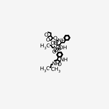 CC(C)CNC=C1C(=O)Nc2ccc(S(=O)(=O)N(CC(C)C)CC(O)C(Cc3ccccc3)NC(=O)OC3COC4OCCC34)cc21